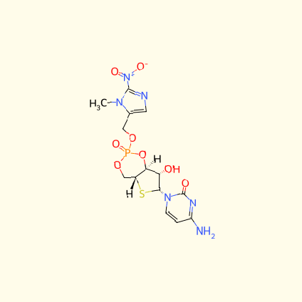 Cn1c(COP2(=O)OC[C@H]3S[C@@H](n4ccc(N)nc4=O)[C@@H](O)[C@@H]3O2)cnc1[N+](=O)[O-]